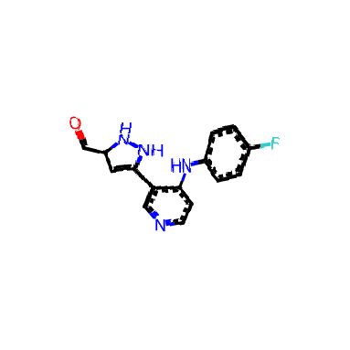 O=CC1C=C(c2cnccc2Nc2ccc(F)cc2)NN1